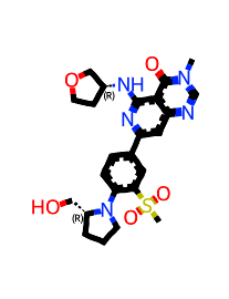 Cn1cnc2cc(-c3ccc(N4CCC[C@@H]4CO)c(S(C)(=O)=O)c3)nc(N[C@@H]3CCOC3)c2c1=O